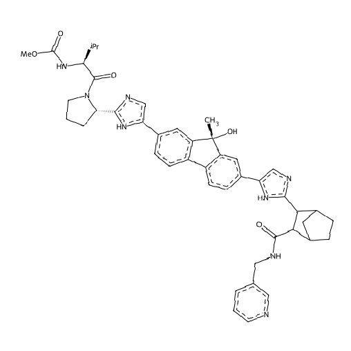 COC(=O)N[C@H](C(=O)N1CCC[C@H]1c1ncc(-c2ccc3c(c2)[C@](C)(O)c2cc(-c4cnc(C5C6CCC(C6)C5C(=O)NCc5cccnc5)[nH]4)ccc2-3)[nH]1)C(C)C